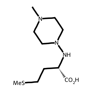 CSCC[C@H](NN1CCN(C)CC1)C(=O)O